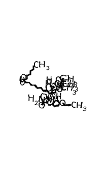 CC#CCOc1ccc(C[C@H](NC(=O)[C@@H](/C=C/CCCCCCC2(CCCCCCC)OCCO2)[C@@](O)(CCO[Si](C)(C)C(C)(C)C)C(=O)O)C(N)=O)cc1